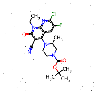 CCn1c(=O)c(C#N)c(N2CCN(C(=O)OC(C)(C)C)C[C@@H]2C)c2cc(F)c(Cl)nc21